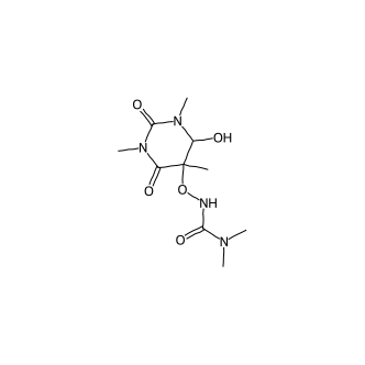 CN(C)C(=O)NOC1(C)C(=O)N(C)C(=O)N(C)C1O